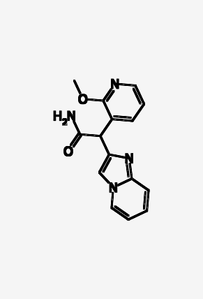 COc1ncccc1C(C(N)=O)c1cn2ccccc2n1